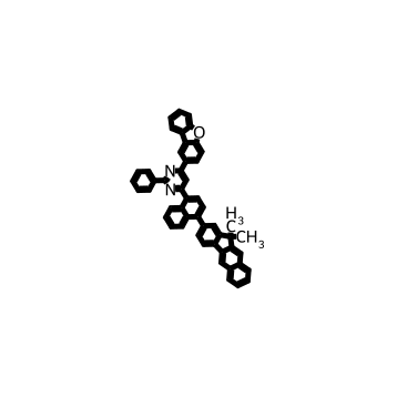 CC1(C)c2cc(-c3ccc(-c4cc(-c5ccc6oc7ccccc7c6c5)nc(-c5ccccc5)n4)c4ccccc34)ccc2-c2cc3ccccc3cc21